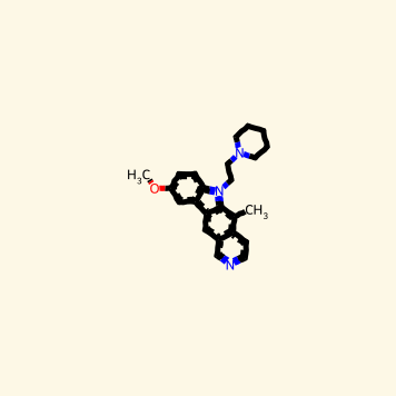 COc1ccc2c(c1)c1cc3cnccc3c(C)c1n2CCN1CCCCC1